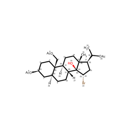 CC(=O)OC[C@]12CC[C@H](OC(C)=O)C[C@@H]1CC[C@@H]1[C@@H]2CC[C@]2(C)[C@@H](C(C)OC(C)=O)C[C@H](Br)[C@]12O